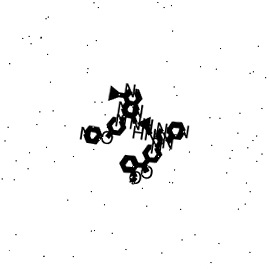 COc1ccccc1C(=O)C1CCN(c2nc3cnccc3nc2NC2CC2)CC1.Nc1nc2ccnc(C3CC3)c2nc1N1CCC(Oc2ccncc2)CC1